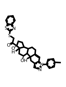 Cc1ccc(-n2ncc3c2C=C2CCC4C([C@@H](O)CC5(C)C4CC[C@]5(O)C(=O)CSc4nc5ccccc5s4)C2(C)C3)cc1